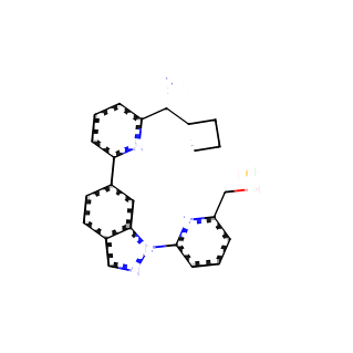 Cl.N[C@@H](c1cccc(-c2ccc3cnn(-c4cccc(CO)n4)c3c2)n1)[C@H]1C[C@@H](O)C1